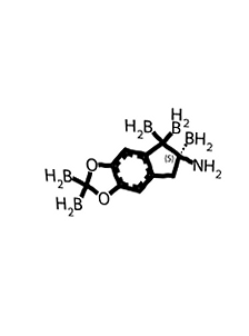 BC1(B)Oc2cc3c(cc2O1)C(B)(B)[C@@](B)(N)C3